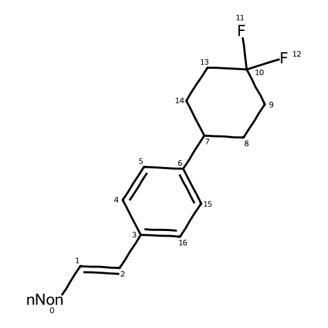 CCCCCCCCC/C=C/c1ccc(C2CCC(F)(F)CC2)cc1